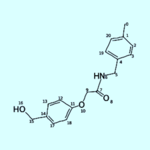 Cc1ccc(CNC(=O)COc2ccc(CO)cc2)cc1